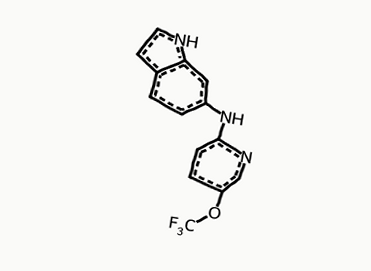 FC(F)(F)Oc1ccc(Nc2ccc3cc[nH]c3c2)nc1